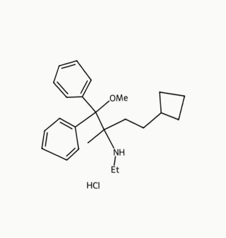 CCNC(C)(CCC1CCC1)C(OC)(c1ccccc1)c1ccccc1.Cl